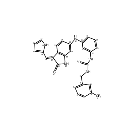 O=C(NCc1cccc(C(F)(F)F)c1)Nc1cccc(Nc2ccc3c(c2)NC(=O)C3=Cc2ccc[nH]2)c1